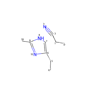 CCC#N.CCc1c[nH]c(C)n1